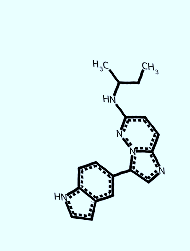 CCC(C)Nc1ccc2ncc(-c3ccc4[nH]ccc4c3)n2n1